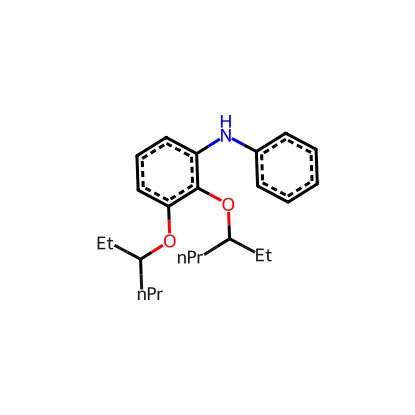 CCCC(CC)Oc1cccc(Nc2ccccc2)c1OC(CC)CCC